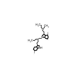 CCCN(CC)CCc1cn(CCN(CCC)CCc2c[nH]c3cc(I)ccc23)c2cccc(I)c12